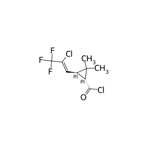 CC1(C)[C@H](C=C(Cl)C(F)(F)F)[C@H]1C(=O)Cl